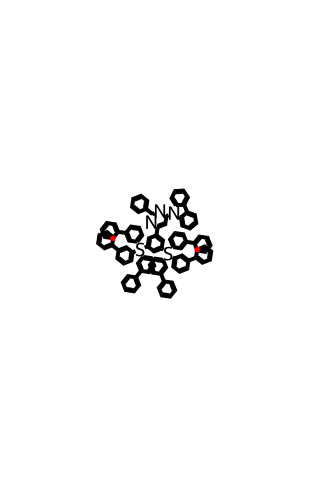 c1ccc(-c2cccc(S(c3cccc(-c4ccccc4)c3)(c3cccc(-c4ccccc4)c3)c3cc(-c4cc(-n5c6ccccc6c6ccccc65)nc(-c5ccccc5)n4)cc(S(c4cccc(-c5ccccc5)c4)(c4cccc(-c5ccccc5)c4)c4cccc(-c5ccccc5)c4)c3)c2)cc1